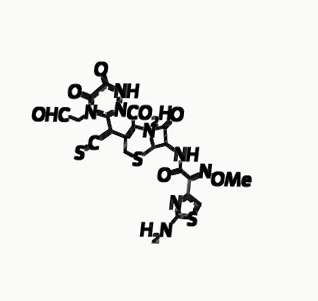 CON=C(C(=O)NC1C(=O)N2C(C(=O)O)=C(C(=C=S)c3n[nH]c(=O)c(=O)n3CC=O)CSC12)c1csc(N)n1